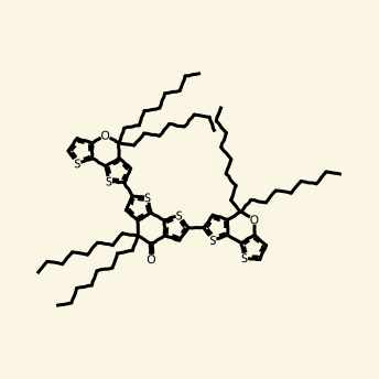 CCCCCCCCC1(CCCCCCCC)Oc2ccsc2-c2sc(-c3cc4c(s3)-c3sc(-c5cc6c(s5)-c5sccc5OC6(CCCCCCCC)CCCCCCCC)cc3C(CCCCCCCC)(CCCCCCCC)C4=O)cc21